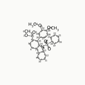 COC(=O)c1ccc2c3ccccc3n(S(=O)(=O)c3ccccc3)c2c1-c1ccc(OC)c(OC)c1